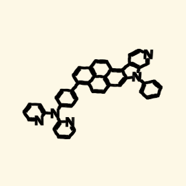 c1ccc(-n2c3cnccc3c3c4ccc5ccc(-c6ccc(N(c7ccccn7)c7ccccn7)cc6)c6ccc(cc32)c4c56)cc1